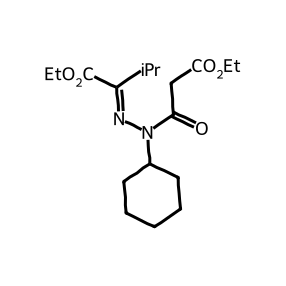 CCOC(=O)CC(=O)N(N=C(C(=O)OCC)C(C)C)C1CCCCC1